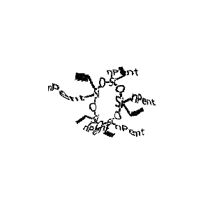 C=C[Si]1(CCCCC)O[Si](C=C)(CCCCC)O[Si](C=C)(CCCCC)O[Si](C=C)(CCCCC)O[Si](C=C)(CCCCC)O1